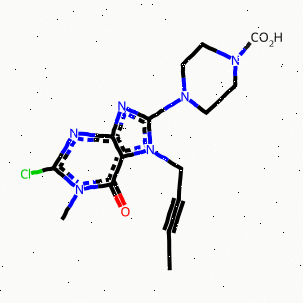 CC#CCn1c(N2CCN(C(=O)O)CC2)nc2nc(Cl)n(C)c(=O)c21